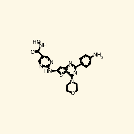 Nc1ccc(-c2nc(N3CCOCC3)c3sc(Nc4ncc(C(=O)NO)cn4)cc3n2)cc1